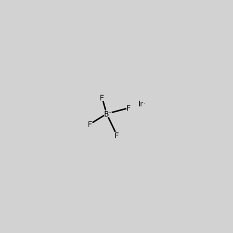 F[B-](F)(F)F.[Ir]